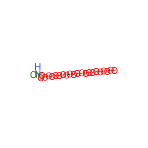 COCCOCCOCCOCCOCCOCCOCCOCCOCCOCCCOCCOCCOCCOCCOCCOCCOCCOCCOCCOCCS(=O)(=O)CCC(C)(C)NCl